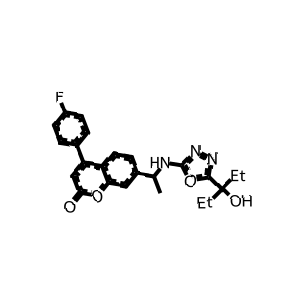 CCC(O)(CC)c1nnc(NC(C)c2ccc3c(-c4ccc(F)cc4)cc(=O)oc3c2)o1